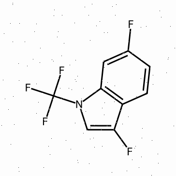 Fc1ccc2c(F)cn(C(F)(F)F)c2c1